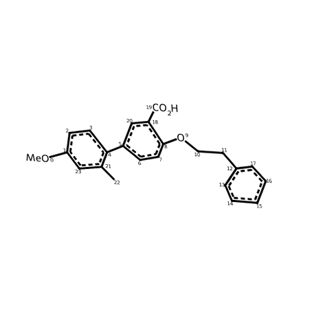 COc1ccc(-c2ccc(OCCc3ccccc3)c(C(=O)O)c2)c(C)c1